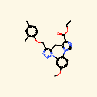 CCOC(=O)c1ncn2c1Cc1c(COc3ccc(C)cc3C)nnn1-c1cc(OC)ccc1-2